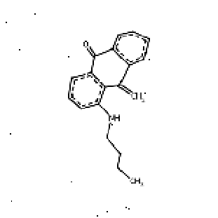 C=C1c2ccccc2C(=O)c2cccc(NCCCC)c21